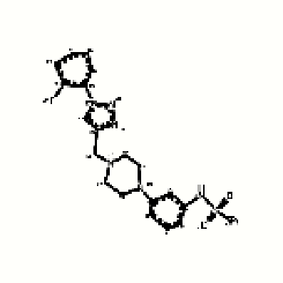 CC(C)S(=O)(=O)Nc1cccc(N2CCN(Cc3cn(-c4ccccc4F)nn3)CC2)c1